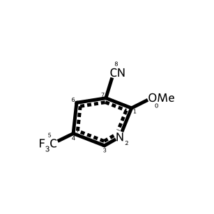 COc1ncc(C(F)(F)F)cc1C#N